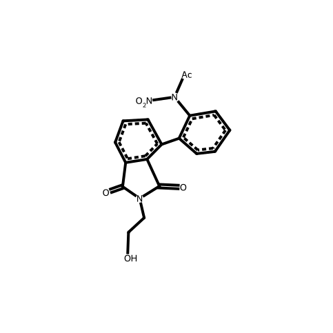 CC(=O)N(c1ccccc1-c1cccc2c1C(=O)N(CCO)C2=O)[N+](=O)[O-]